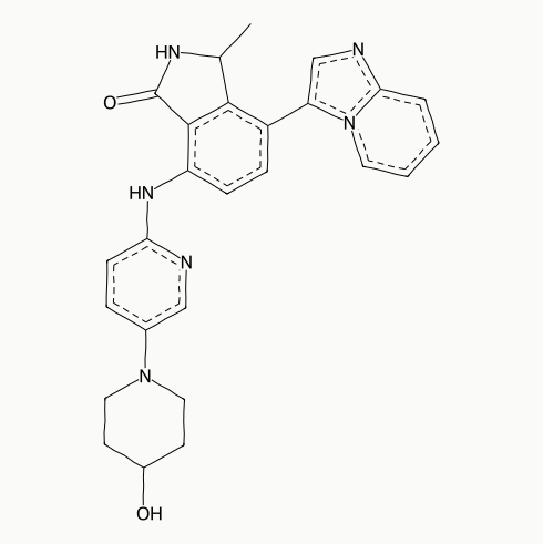 CC1NC(=O)c2c(Nc3ccc(N4CCC(O)CC4)cn3)ccc(-c3cnc4ccccn34)c21